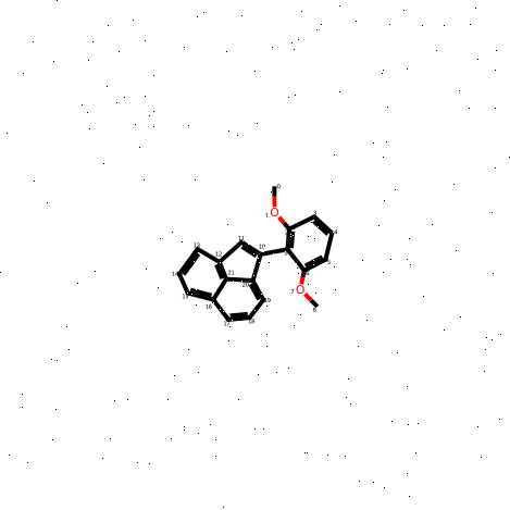 COc1cccc(OC)c1C1=Cc2cccc3cccc1c23